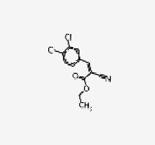 CCOC(=O)C(C#N)=Cc1ccc(Cl)c(Cl)c1